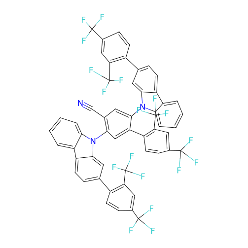 N#Cc1cc(-n2c3ccccc3c3ccc(-c4ccc(C(F)(F)F)cc4C(F)(F)F)cc32)c(-c2ccc(C(F)(F)F)cc2C(F)(F)F)cc1-n1c2ccccc2c2ccc(-c3ccc(C(F)(F)F)cc3C(F)(F)F)cc21